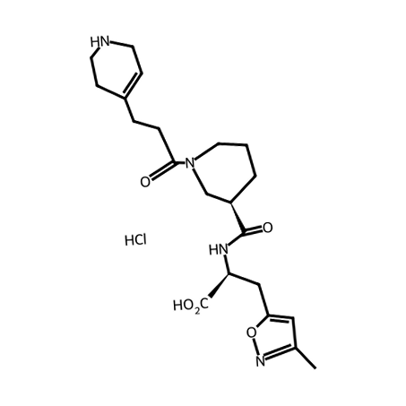 Cc1cc(C[C@H](NC(=O)[C@@H]2CCCN(C(=O)CCC3=CCNCC3)C2)C(=O)O)on1.Cl